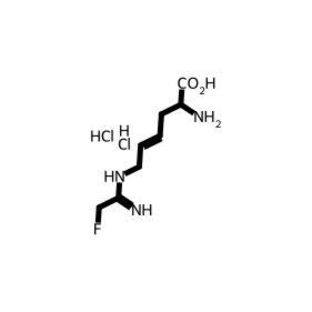 Cl.Cl.N=C(CF)NC/C=C/CC(N)C(=O)O